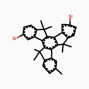 Cc1ccc2c(c1)-c1c(c3c(c4c1C(C)(C)c1ccc(Br)cc1-4)C(C)(C)c1ccc(Br)cc1-3)C2(C)C